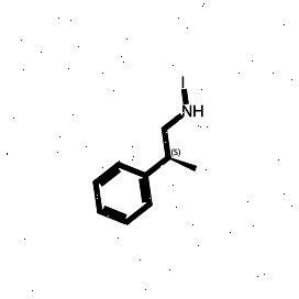 C[C@H](CNI)c1ccccc1